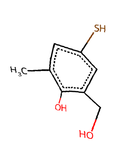 Cc1cc(S)cc(CO)c1O